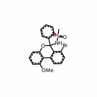 COc1cccc2c1-c1cccc(Br)c1C(NS(C)(=O)=O)(c1ccccc1)O2